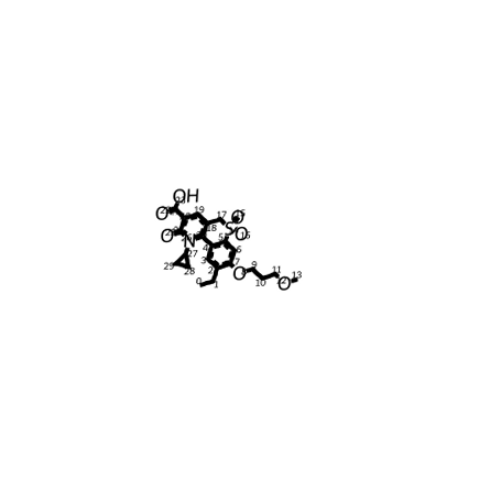 CCc1cc2c(cc1OCCCOC)S(=O)(=O)Cc1cc(C(=O)O)c(=O)n(C3CC3)c1-2